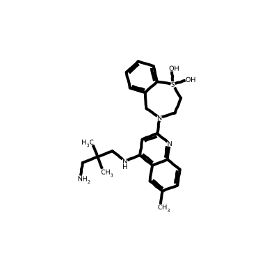 Cc1ccc2nc(N3CCS(O)(O)c4ccccc4C3)cc(NCC(C)(C)CN)c2c1